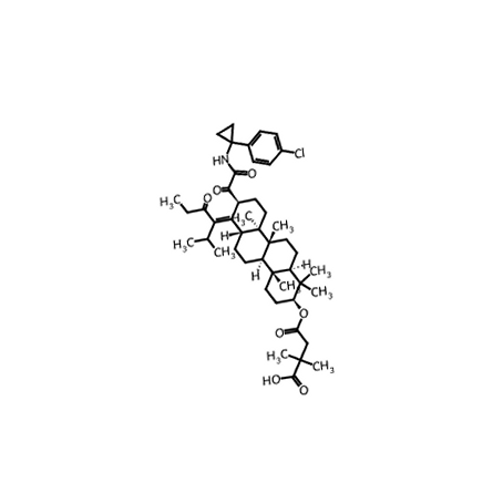 CCC(=O)/C(=C1\[C@@H](C(=O)C(=O)NC2(c3ccc(Cl)cc3)CC2)CC[C@]2(C)[C@@H]1CC[C@@H]1[C@@]3(C)CC[C@H](OC(=O)CC(C)(C)C(=O)O)C(C)(C)[C@@H]3CC[C@]12C)C(C)C